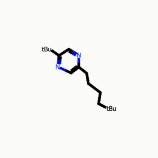 CC(C)(C)CCCCc1cnc(C(C)(C)C)cn1